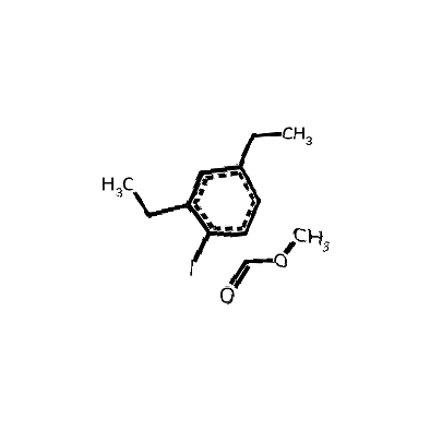 CCc1ccc(I)c(CC)c1.COC=O